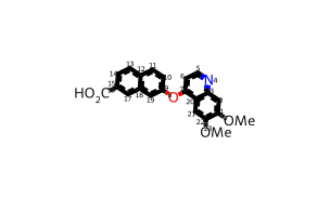 COc1cc2nccc(Oc3ccc4ccc(C(=O)O)cc4c3)c2cc1OC